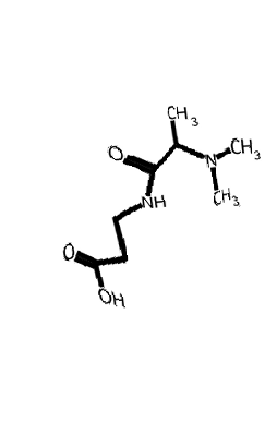 CC(C(=O)NCCC(=O)O)N(C)C